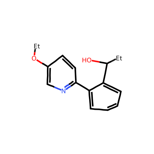 CCOc1ccc(-c2ccccc2C(O)CC)nc1